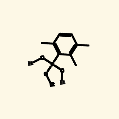 CCO[Si](OCC)(OCC)c1c(C)ccc(C)c1C